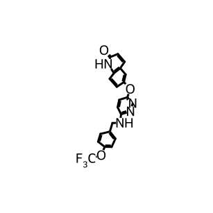 O=c1ccc2cc(Oc3ccc(NCc4ccc(OC(F)(F)F)cc4)nn3)ccc2[nH]1